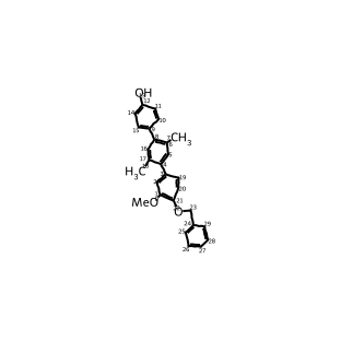 COc1cc(-c2cc(C)c(-c3ccc(O)cc3)cc2C)ccc1OCc1ccccc1